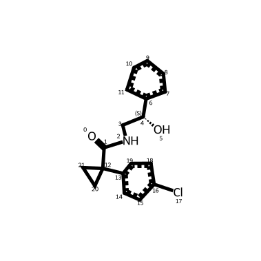 O=C(NC[C@@H](O)c1ccccc1)C1(c2ccc(Cl)cc2)CC1